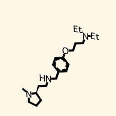 CCN(CC)CCCOc1ccc(CNCC[C@H]2CCCN2C)cc1